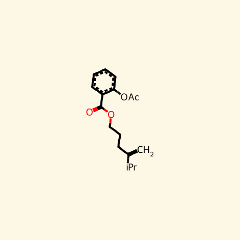 C=C(CCCOC(=O)c1ccccc1OC(C)=O)C(C)C